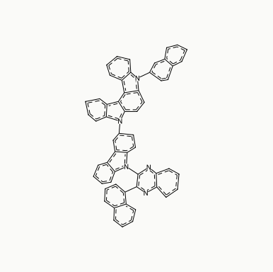 c1ccc2cc(-n3c4ccccc4c4c5c6ccccc6n(-c6ccc7c(c6)c6ccccc6n7-c6nc7ccccc7nc6-c6cccc7ccccc67)c5ccc43)ccc2c1